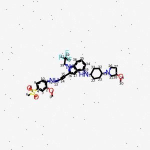 COc1cc(S(C)(=O)=O)ccc1NCC#Cc1cc2c(N[C@H]3CC[C@H](N4CCC(OC)C4)CC3)cccc2n1CC(F)(F)F